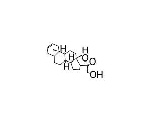 C[C@]12CC=CCC1CC[C@@H]1[C@@H]2CC[C@@]2(C)[C@H]1CC[C@]2(O)C(=O)CO